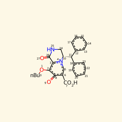 CCCCOc1c2n(cc(C(=O)O)c1=O)[C@@H](C(c1ccccc1)c1ccccc1)CNC2=O